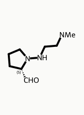 CNCCNN1CCC[C@H]1C=O